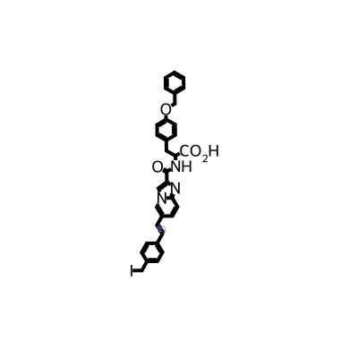 O=C(NC(Cc1ccc(OCc2ccccc2)cc1)C(=O)O)c1cn2cc(/C=C/c3ccc(CI)cc3)ccc2n1